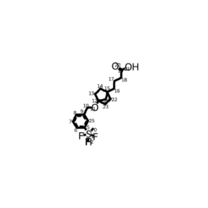 C[SH](F)(F)(F)c1cccc(COC23CCC(CCCC(=O)O)(CC2)C3)c1